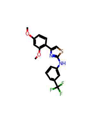 COc1ccc(-c2csc(Nc3cccc(C(F)(F)F)c3)n2)c(OC)c1